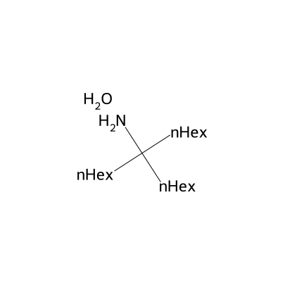 CCCCCCC(N)(CCCCCC)CCCCCC.O